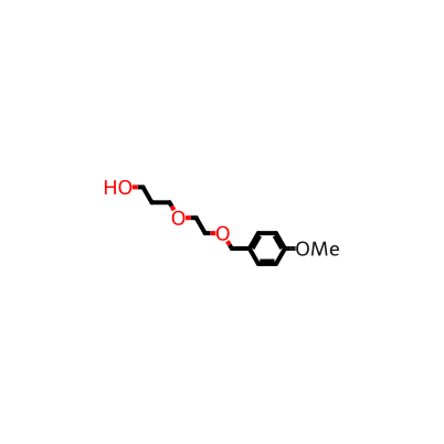 COc1ccc(COCCOCCCO)cc1